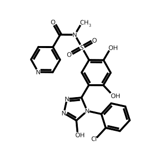 CN(C(=O)c1ccncc1)S(=O)(=O)c1cc(-c2nnc(O)n2-c2ccccc2Cl)c(O)cc1O